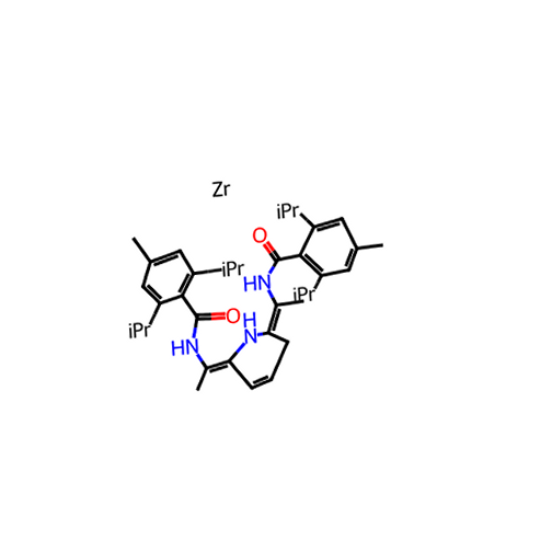 CC(NC(=O)c1c(C(C)C)cc(C)cc1C(C)C)=C1C=CCC(=C(C)NC(=O)c2c(C(C)C)cc(C)cc2C(C)C)N1.[Zr]